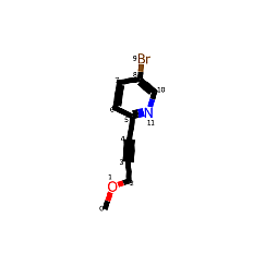 COCC#Cc1ccc(Br)cn1